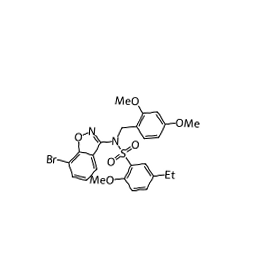 CCc1ccc(OC)c(S(=O)(=O)N(Cc2ccc(OC)cc2OC)c2noc3c(Br)cccc23)c1